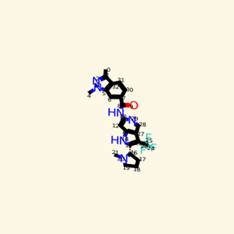 Cc1nn(C)c2cc(C(=O)Nc3cc4[nH]c([C@@H]5CCCN5C)c(C(F)(F)F)c4cn3)ccc12